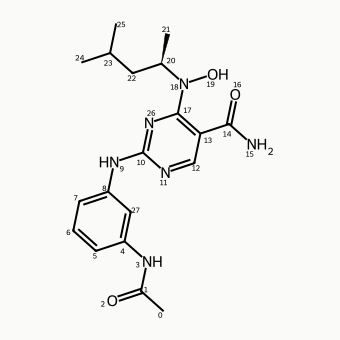 CC(=O)Nc1cccc(Nc2ncc(C(N)=O)c(N(O)[C@H](C)CC(C)C)n2)c1